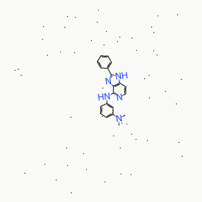 CN(C)c1cccc(Nc2nccc3[nH]c(-c4ccccc4)nc23)c1